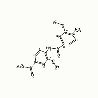 COC(=O)c1ccc(NC(=O)c2ccc([N+](=O)[O-])c(OC(C)C)n2)c(OC(C)C)n1